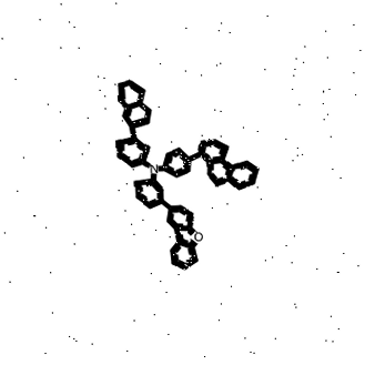 C1=CC2=CC(c3cccc(N(c4ccc(-c5cccc6c5ccc5ccccc56)cc4)c4cccc(-c5ccc6oc7ccccc7c6c5)c4)c3)=CCC2C=C1